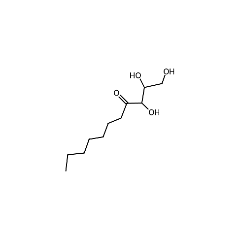 CCCCCCCC(=O)C(O)C(O)CO